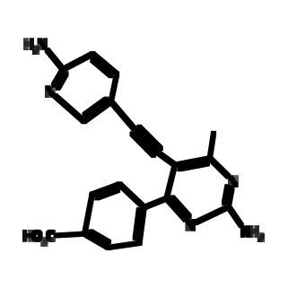 Cc1nc(N)nc(-c2ccc(C(=O)O)cc2)c1C#Cc1ccc(N)nc1